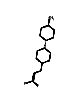 C[C@H]1CC[C@H](C2CCC(CC=C(F)F)CC2)CC1